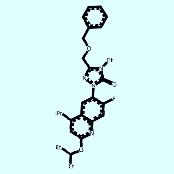 CCC(CC)Oc1cc(C(C)C)c2cc(-n3nc(COCc4ccccc4)n(CC)c3=O)c(F)cc2n1